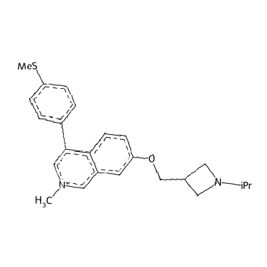 CSc1ccc(-c2c[n+](C)cc3cc(OCC4CN(C(C)C)C4)ccc23)cc1